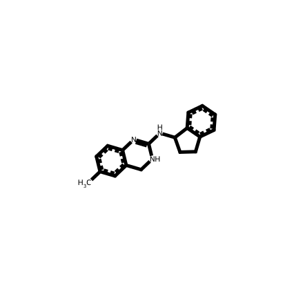 Cc1ccc2c(c1)CNC(NC1CCc3ccccc31)=N2